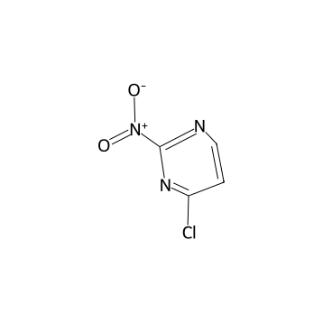 O=[N+]([O-])c1nccc(Cl)n1